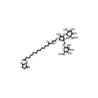 O=C(CCCCCCCCCCCCC(=O)ON1C(=O)CCC1=O)NCCO[C@H]1O[C@H](CO[C@H]2O[C@H](CO)[C@@H](O)[C@H](O)[C@@H]2O)[C@@H](O)[C@H](O[C@H]2O[C@H](CO)[C@@H](O)[C@H](O)[C@@H]2O)[C@@H]1O